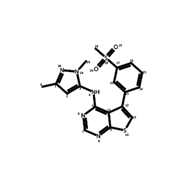 Cc1cc(Nc2ncnc3scc(-c4cccc(S(C)(=O)=O)c4)c23)n(C)n1